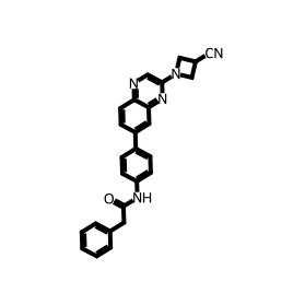 N#CC1CN(c2cnc3ccc(-c4ccc(NC(=O)Cc5ccccc5)cc4)cc3n2)C1